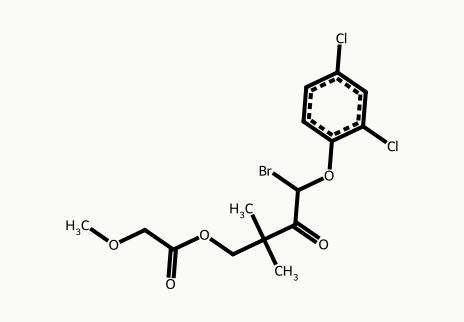 COCC(=O)OCC(C)(C)C(=O)C(Br)Oc1ccc(Cl)cc1Cl